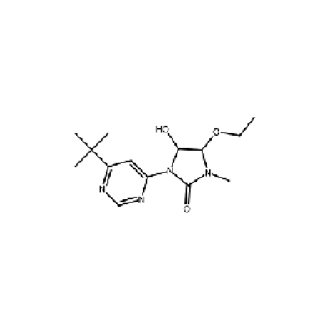 CCOC1C(O)N(c2cc(C(C)(C)C)ncn2)C(=O)N1C